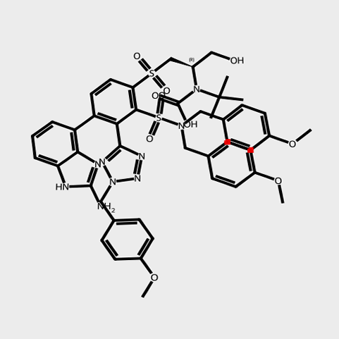 COc1ccc(CN(Cc2ccc(OC)cc2)S(=O)(=O)c2c(S(=O)(=O)C[C@@H](CO)N(C(=O)O)C(C)(C)C)ccc(-c3cccc4[nH]c(N)nc34)c2-c2nnn(Cc3ccc(OC)cc3)n2)cc1